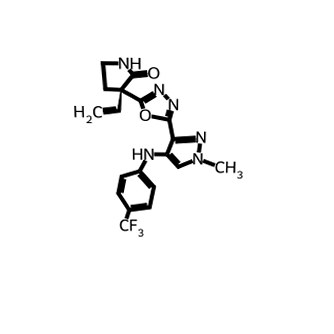 C=C[C@@]1(c2nnc(-c3nn(C)cc3Nc3ccc(C(F)(F)F)cc3)o2)CCNC1=O